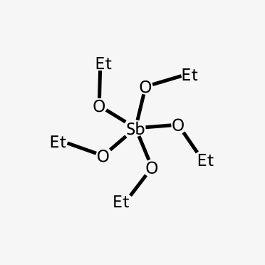 CC[O][Sb]([O]CC)([O]CC)([O]CC)[O]CC